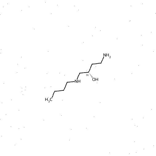 CCCCNC[C@@H](O)CCN